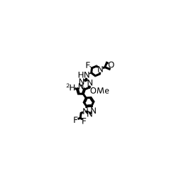 [2H]c1cc(-c2ccc3nnn(CC(F)F)c3c2)c2c(OC)nc(N[C@@H]3CCN(C4COC4)C[C@H]3F)nn12